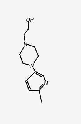 OCCN1CCN(c2ccc(I)nc2)CC1